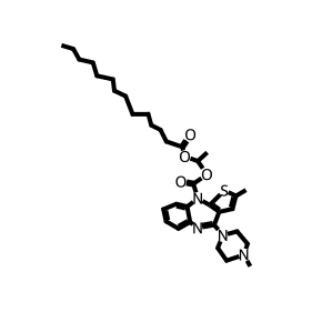 CCCCCCCCCCCCCC(=O)OC(C)OC(=O)N1c2ccccc2N=C(N2CCN(C)CC2)c2cc(C)sc21